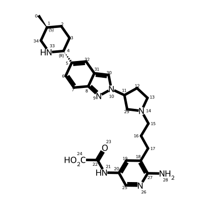 C[C@H]1CC[C@H](c2ccc3nn(C4CCN(CCCc5cc(NC(=O)C(=O)O)cnc5N)C4)cc3c2)NC1